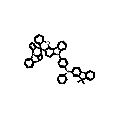 CC1(C)c2ccccc2-c2ccc(N(c3ccccc3)c3ccc(-n4c5ccccc5c5c6c(ccc54)C4(c5ccccc5O6)c5ccccc5-n5c6ccccc6c6cccc4c65)cc3)cc21